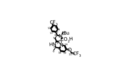 C[C@@H](NC(=O)C[C@@H](c1ccc(C(F)(F)F)cc1)N(C(=O)O)C(C)(C)C)c1ccc(OCC(F)(F)F)cn1